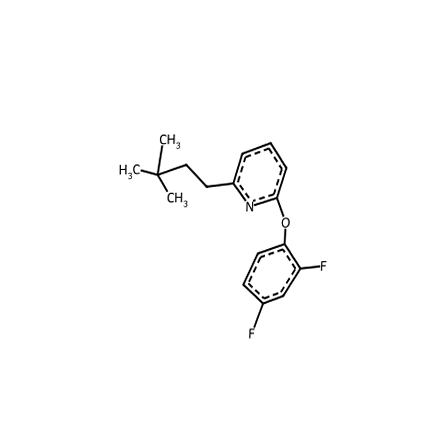 CC(C)(C)CCc1cccc(Oc2ccc(F)cc2F)n1